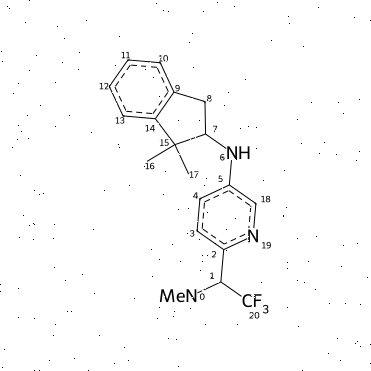 CNC(c1ccc(NC2Cc3ccccc3C2(C)C)cn1)C(F)(F)F